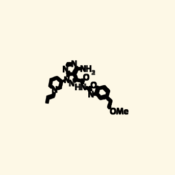 CC=CN1CCC[C@@H](n2nc(C(=O)Nc3nc4cc(CCOC)ccc4o3)c3c(N)ncnc32)C1